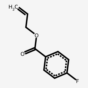 C=CCOC(=O)c1ccc(F)cc1